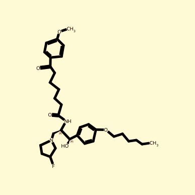 CCCCCCOc1ccc([C@@H](O)[C@@H](CN2CCC(F)C2)NC(=O)CCCCCC(=O)c2ccc(OC)cc2)cc1